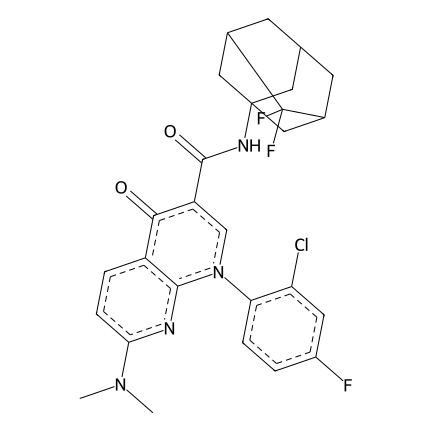 CN(C)c1ccc2c(=O)c(C(=O)NC34CC5CC(C3)C(F)(F)C(C5)C4)cn(-c3ccc(F)cc3Cl)c2n1